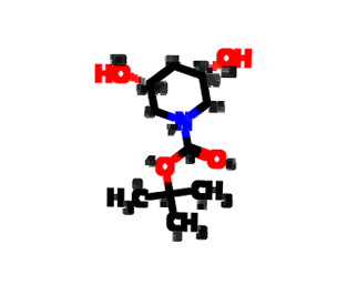 CC(C)(C)OC(=O)N1C[C@H](O)C[C@H](O)C1